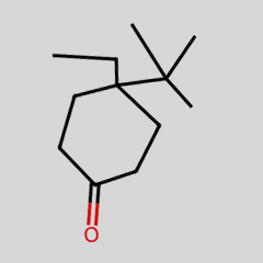 CCC1(C(C)(C)C)CCC(=O)CC1